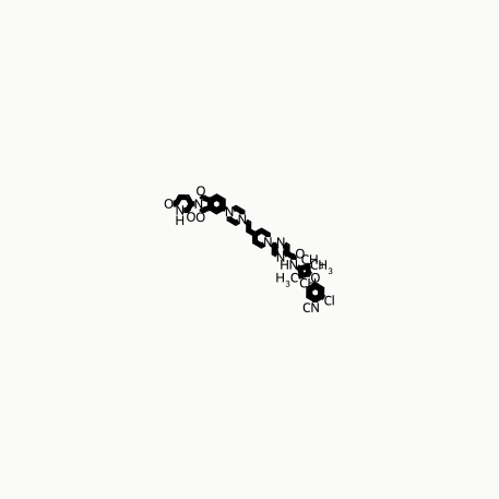 CC1(C)C(NC(=O)c2cnc(N3CCC(CCN4CCN(c5ccc6c(c5)C(=O)N(C5CCC(=O)NC5=O)C6=O)CC4)CC3)cn2)C(C)(C)C1Oc1ccc(C#N)c(Cl)c1